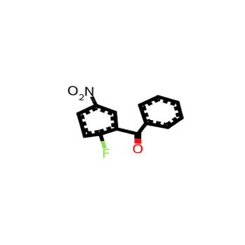 O=C(c1ccccc1)c1cc([N+](=O)[O-])ccc1F